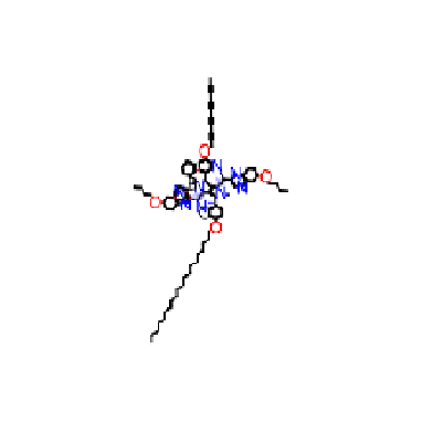 [C-]#[N+]/C(c1cnc2cc(OCCC=C)ccc2n1)=c1\c2c(-c3ccc(OCCCCCCCCCCCCCCCCCCCC)cc3)n(C)/c(=C(/C#N)c3cnc4cc(OCCC=C)ccc4n3)c2c(-c2ccc(OCC#CC#CC#CC#CC)cc2)n1B(c1ccccc1)c1ccccc1